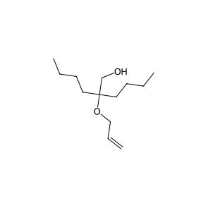 C=CCOC(CO)(CCCC)CCCC